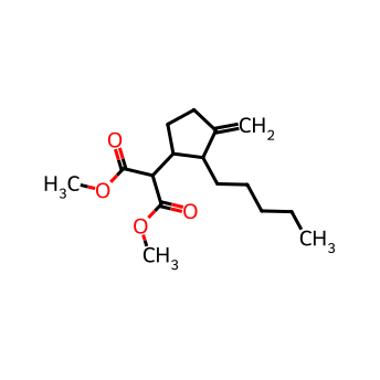 C=C1CCC(C(C(=O)OC)C(=O)OC)C1CCCCC